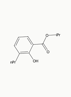 CCCc1cccc(C(=O)OC(C)C)c1O